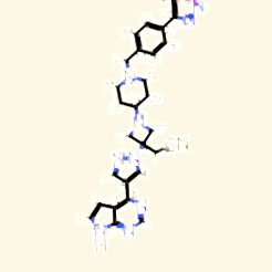 N#CCC1(n2cc(-c3ncnc4[nH]ccc34)cn2)CN(C2CCN(Cc3ccc(-c4conn4)cc3)CC2)C1